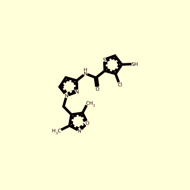 Cc1noc(C)c1Cn1ccc(NC(=O)c2scc(S)c2Cl)n1